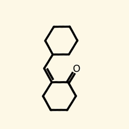 O=C1CCCCC1=CC1CCCCC1